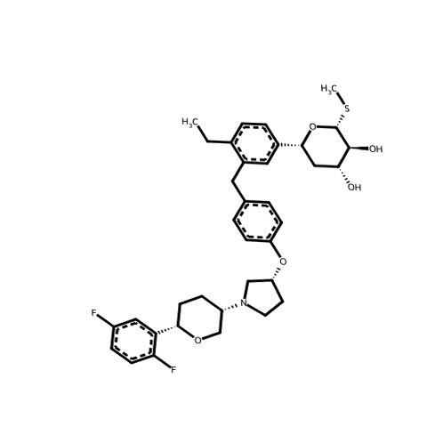 CCc1ccc([C@H]2C[C@@H](O)[C@H](O)[C@@H](SC)O2)cc1Cc1ccc(O[C@@H]2CCN([C@H]3CC[C@@H](c4cc(F)ccc4F)OC3)C2)cc1